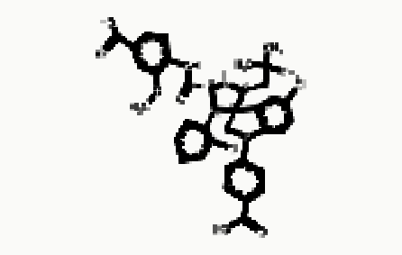 COc1cc(C(=O)O)ccc1NC(=O)[C@@H]1N[C@@H](CC(C)(C)C)[C@@]2(CN(c3ccc(C(=O)O)cc3)c3ccc(Cl)cc32)[C@H]1c1ccccc1Cl